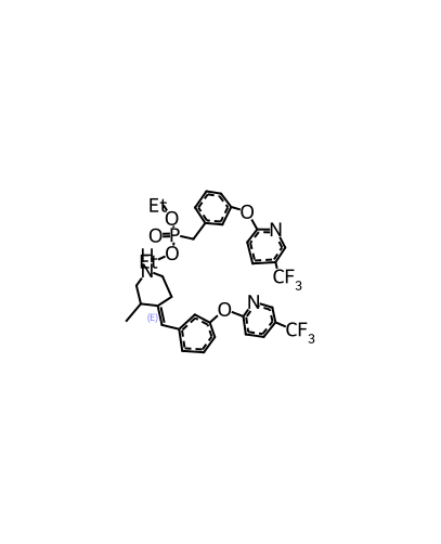 CC1CNCC/C1=C\c1cccc(Oc2ccc(C(F)(F)F)cn2)c1.CCOP(=O)(Cc1cccc(Oc2ccc(C(F)(F)F)cn2)c1)OCC